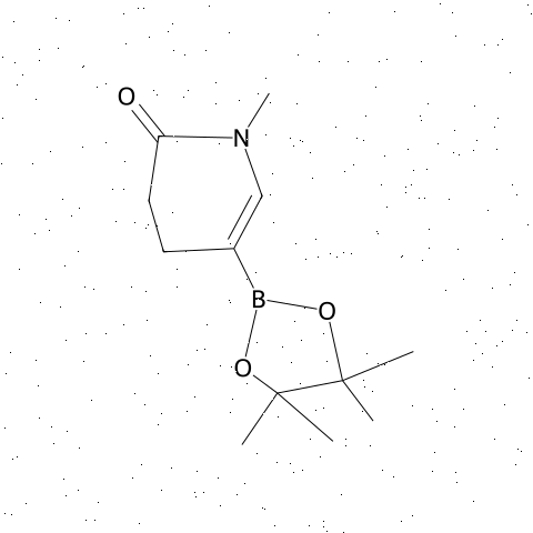 CN1C=C(B2OC(C)(C)C(C)(C)O2)CCC1=O